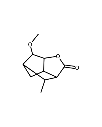 COC1C2CC3C1OC(=O)C3C2C